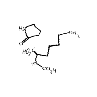 NCCCCC(NC(=O)O)C(=O)O.O=C1CCCN1